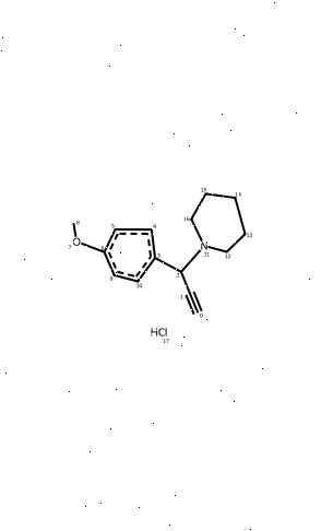 C#CC(c1ccc(OC)cc1)N1CCCCC1.Cl